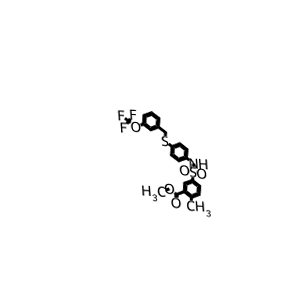 COC(=O)c1cc(S(=O)(=O)Nc2ccc(SCc3cccc(OC(F)(F)F)c3)cc2)ccc1C